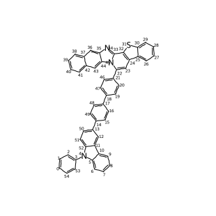 c1ccc(-n2c3ccccc3c3cc(-c4ccc(-c5ccc(-c6cc7c8ccccc8sc7c7nc8cc9ccccc9cc8n67)cc5)cc4)ccc32)cc1